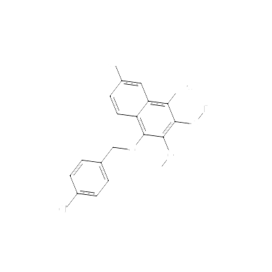 CCOc1c(OCC)c(OC(C)=O)c2cc(Cl)ccc2c1OCc1ccc(Cl)cc1